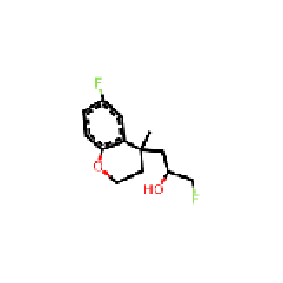 CC1(CC(O)CF)CCOc2ccc(F)cc21